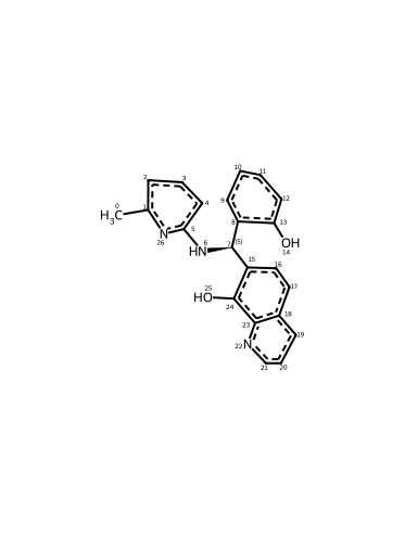 Cc1cccc(N[C@@H](c2ccccc2O)c2ccc3cccnc3c2O)n1